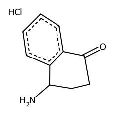 Cl.NC1CCC(=O)c2ccccc21